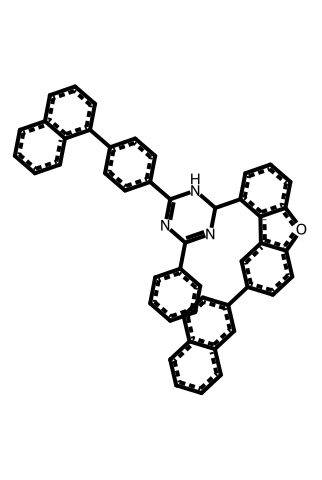 c1ccc(C2=NC(c3cccc4oc5ccc(-c6ccc7ccccc7c6)cc5c34)NC(c3ccc(-c4cccc5ccccc45)cc3)=N2)cc1